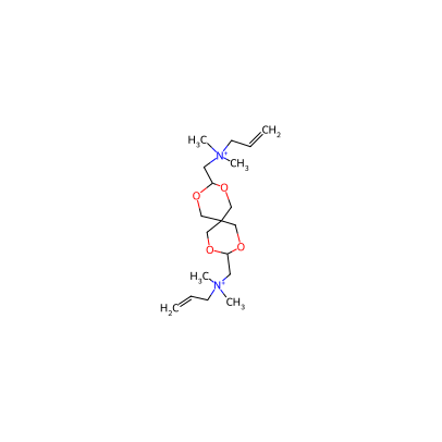 C=CC[N+](C)(C)CC1OCC2(CO1)COC(C[N+](C)(C)CC=C)OC2